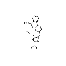 C=CCCc1nc(C(=O)CC)nn1Cc1ccc(-c2ccccc2C(=O)O)cc1